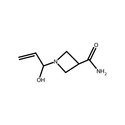 C=CC(O)N1CC(C(N)=O)C1